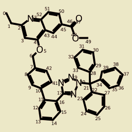 CCc1cc(OCc2ccc(-c3ccccc3-c3nnn(C(c4ccccc4)(c4ccccc4)c4ccccc4)n3)cc2)c2cc(C(=O)OC)ccc2n1